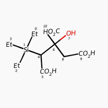 CC[Si](CC)(CC)C(C(=O)O)C(O)(CC(=O)O)C(=O)O